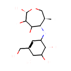 C[C@@H]1CO[C@H](O)C(O)C(O)[C@@H]1NC1C=C(CO)[C@@H](O)C(O)[C@H]1O